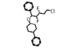 FC(CCCl)C(F)C(OC1CCC(c2ccccc2)CC1)c1ccccc1